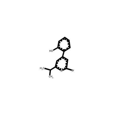 CC(C)c1cc(-c2ccccc2O)cc(Br)n1